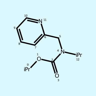 CC(C)OC(=O)N(Cc1ccccn1)C(C)C